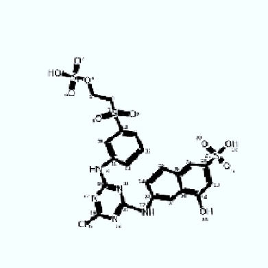 O=S(=O)(O)OCCS(=O)(=O)c1cccc(Nc2nc(Cl)nc(Nc3ccc4cc(S(=O)(=O)O)cc(O)c4c3)n2)c1